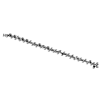 CS(=S)(=S)SSSSSSSSSSSSSSSSSSSSSSSSSSSSSSSSSSSSSSSSSS